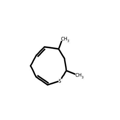 CC1/C=C\C/C=C\SC(C)C1